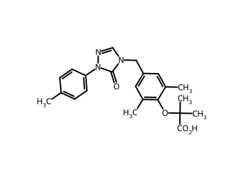 Cc1ccc(-n2ncn(Cc3cc(C)c(OC(C)(C)C(=O)O)c(C)c3)c2=O)cc1